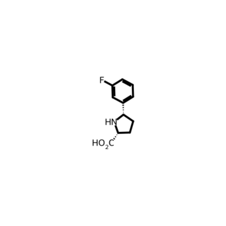 O=C(O)[C@H]1CC[C@@H](c2cccc(F)c2)N1